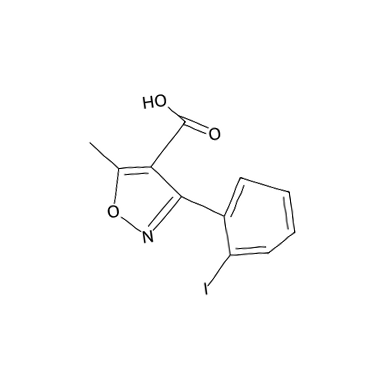 Cc1onc(-c2ccccc2I)c1C(=O)O